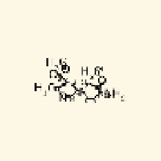 COC(=O)c1cc(N2CC[C@@H](N)[C@@H](OC)C2)cnc1C